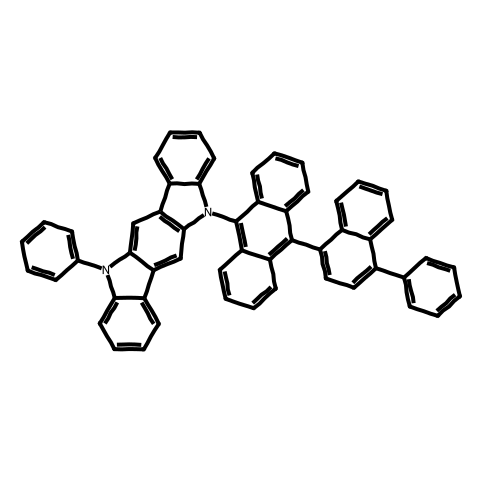 c1ccc(-c2ccc(-c3c4ccccc4c(-n4c5ccccc5c5cc6c(cc54)c4ccccc4n6-c4ccccc4)c4ccccc34)c3ccccc23)cc1